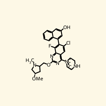 CO[C@@H]1CC(COc2nc(N3CC4CCCC3CN4)c3cc(Cl)c(-c4cc(O)cc5ccccc45)c(F)c3n2)N(C)C1